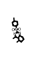 Cc1ccc(S(=O)(=O)c2nc(C)c3c(C)cccc3n2)cc1